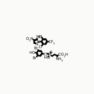 CP(=O)(O)CCC(N)C(=O)O.N#Cc1cc(Br)c(O)c(Br)c1.Nc1c([N+](=O)[O-])cnn1-c1c(Cl)cc(C(F)(F)F)cc1Cl